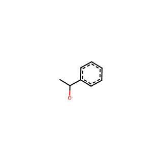 CC([O])c1ccccc1